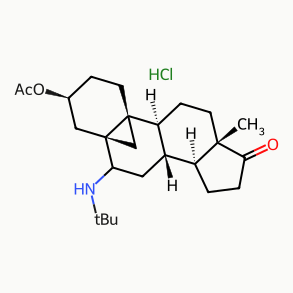 CC(=O)O[C@H]1CC[C@@]23C[C@]2(C1)C(NC(C)(C)C)C[C@@H]1[C@@H]3CC[C@]2(C)C(=O)CC[C@@H]12.Cl